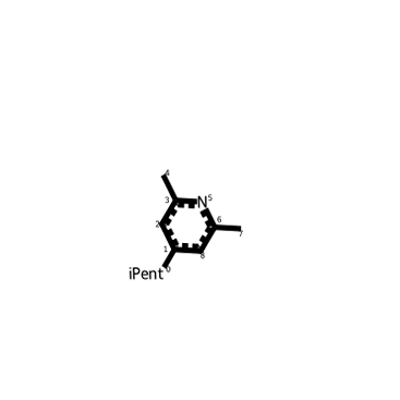 CCCC(C)c1cc(C)nc(C)c1